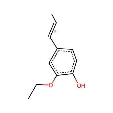 C/C=C/c1ccc(O)c(OCC)c1